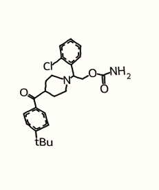 CC(C)(C)c1ccc(C(=O)C2CCN(C(COC(N)=O)c3ccccc3Cl)CC2)cc1